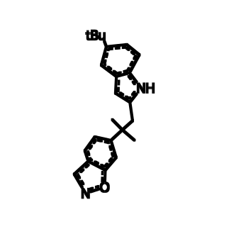 CC(C)(C)c1ccc2[nH]c(CC(C)(C)c3ccc4cnoc4c3)cc2c1